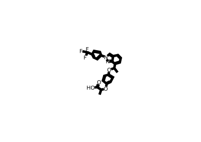 CC(Oc1ccc(OC(C)c2cccc3cn(-c4ccc(C(F)(F)F)cc4)nc23)cc1)C(=O)O